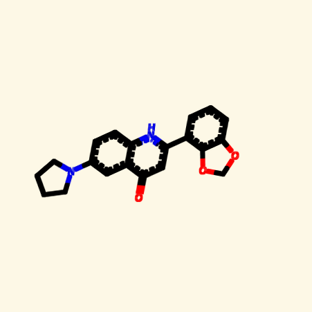 O=c1cc(-c2cccc3c2OCO3)[nH]c2ccc(N3CCCC3)cc12